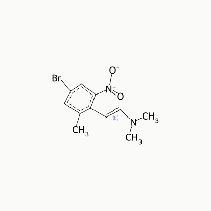 Cc1cc(Br)cc([N+](=O)[O-])c1/C=C/N(C)C